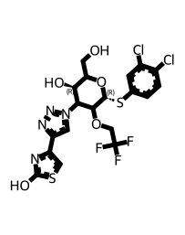 OCC1O[C@H](Sc2ccc(Cl)c(Cl)c2)C(OCC(F)(F)F)C(n2cc(-c3csc(O)n3)nn2)[C@H]1O